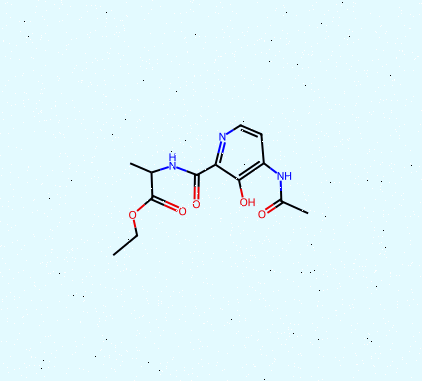 CCOC(=O)C(C)NC(=O)c1nccc(NC(C)=O)c1O